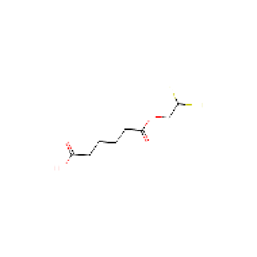 O=C(O)CCCCC(=O)OCC(S)S